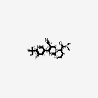 CN(C)C(=O)C1CCSC2=NC(c3cnc(C(C)(C)C)c(F)c3)=C(C#N)CN21